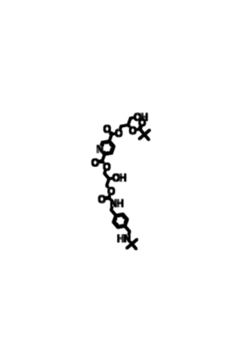 CC(C)(C)NCc1ccc(CNC(=O)OCC(O)COC(=O)c2ccc(C(=O)OCC(CO)OC(=O)C(C)(C)C)cn2)cc1